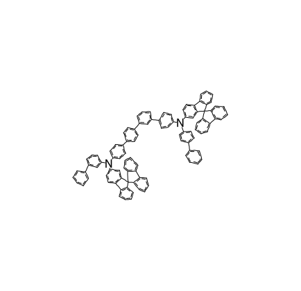 c1ccc(-c2ccc(N(c3ccc(-c4cccc(-c5ccc(-c6ccc(N(c7cccc(-c8ccccc8)c7)c7ccc8c(c7)C7(c9ccccc9-c9ccccc97)c7ccccc7-8)cc6)cc5)c4)cc3)c3ccc4c(c3)C3(c5ccccc5-c5ccccc53)c3ccccc3-4)cc2)cc1